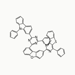 c1ccc(-c2nc(-c3ccc4c5ccccc5n(-c5ccccc5)c4c3)nc(-c3cccc4oc5ccc(-c6nc(-c7ccccc7)c7sc8ccccc8c7n6)cc5c34)n2)cc1